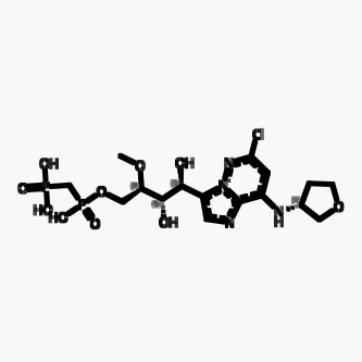 CO[C@H](COP(=O)(O)CP(=O)(O)O)[C@@H](O)[C@@H](O)c1cnc2c(N[C@@H]3CCOC3)cc(Cl)nn12